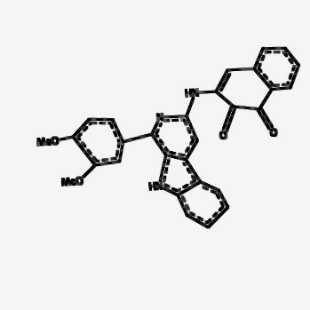 COc1ccc(-c2nc(NC3=Cc4ccccc4C(=O)C3=O)cc3c2[nH]c2ccccc23)cc1OC